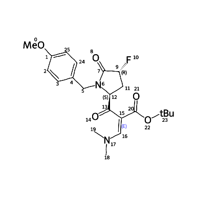 COc1ccc(CN2C(=O)[C@H](F)C[C@H]2C(=O)/C(=C\N(C)C)C(=O)OC(C)(C)C)cc1